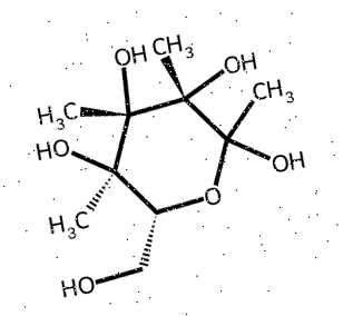 CC1(O)O[C@H](CO)[C@@](C)(O)[C@](C)(O)[C@]1(C)O